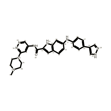 CN1CCN(c2cc(NC(=O)c3cc4ccc(Nc5ccc(-c6cn[nH]c6)cc5)cc4[nH]3)cnn2)CC1